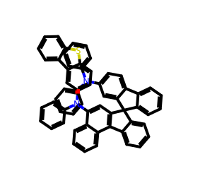 c1ccc(N(c2ccccc2)c2ccc3c(c2)C2(c4ccccc4-3)c3ccccc3-c3c2cc(N(c2ccccc2)c2ccc4sc5ccccc5c4c2)c2ccccc32)cc1